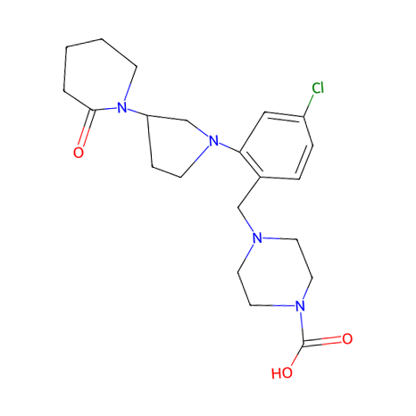 O=C(O)N1CCN(Cc2ccc(Cl)cc2N2CCC(N3CCCCC3=O)C2)CC1